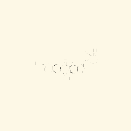 COc1cc2c(cc1Nc1ncc3cnn(CC4CCCNC4=O)c3n1)CN(C)CC2